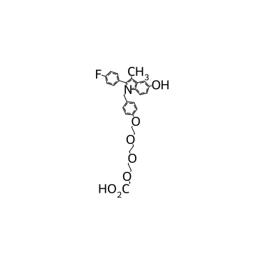 Cc1c(-c2ccc(F)cc2)n(Cc2ccc(OCCOCCOCCOCC(=O)O)cc2)c2ccc(O)cc12